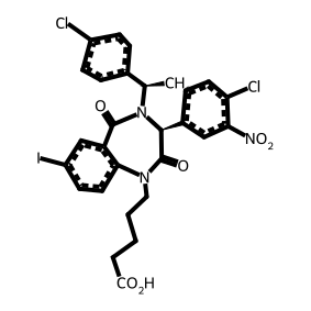 C[C@H](c1ccc(Cl)cc1)N1C(=O)c2cc(I)ccc2N(CCCCC(=O)O)C(=O)[C@@H]1c1ccc(Cl)c([N+](=O)[O-])c1